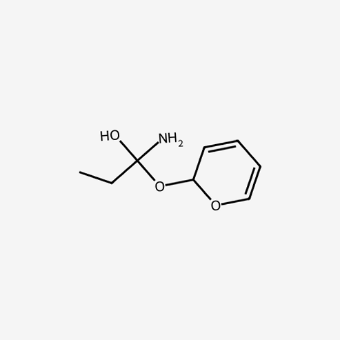 CCC(N)(O)OC1C=CC=CO1